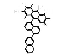 Cc1c(C)c(O)c2c(-c3cccc4c(-c5ccc6c(c5)CCC=C6)cccc34)c3c(C)c(O)c(O)c(C)c3c(Br)c2c1O